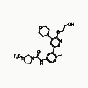 Cc1ccc(NC(=O)N2CC[C@@H](C(F)(F)F)C2)cc1-c1cnc(OCCO)c(N2CCOCC2)c1